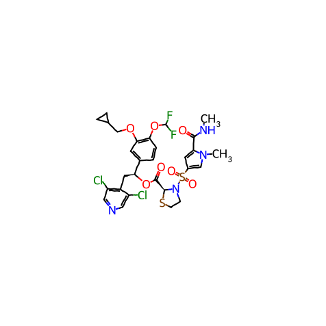 CNC(=O)c1cc(S(=O)(=O)N2CCS[C@H]2C(=O)O[C@@H](Cc2c(Cl)cncc2Cl)c2ccc(OC(F)F)c(OCC3CC3)c2)cn1C